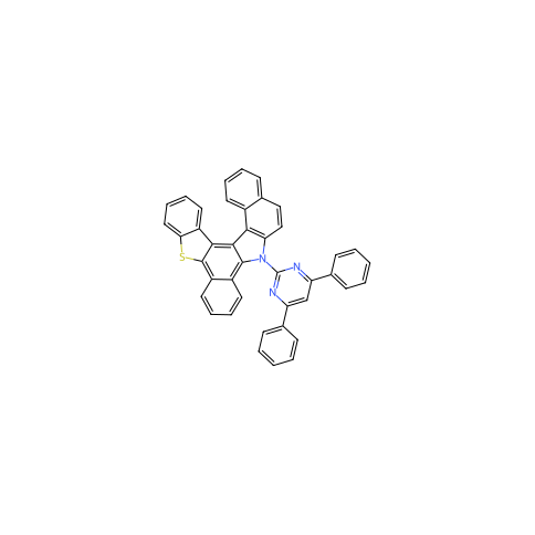 c1ccc(-c2cc(-c3ccccc3)nc(-n3c4ccc5ccccc5c4c4c5c6ccccc6sc5c5ccccc5c43)n2)cc1